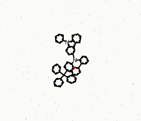 c1ccc(-c2ccccc2N(c2ccc(C(c3ccccc3)(c3ccccc3)c3ccccc3)cc2)c2ccc3c(c2)c2ccccc2n3-c2ccccc2)cc1